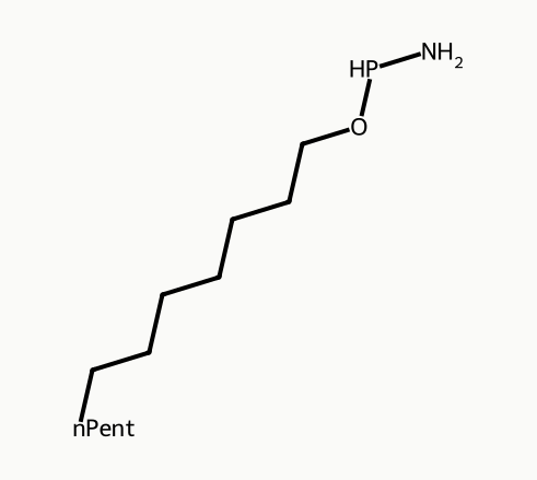 CCCCCCCCCCCCOPN